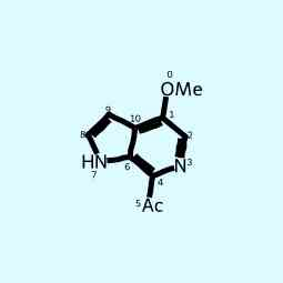 COc1cnc(C(C)=O)c2[nH]ccc12